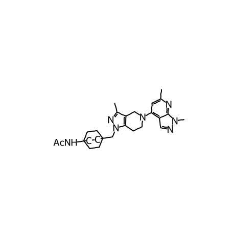 CC(=O)NC12CCC(Cn3nc(C)c4c3CCN(c3cc(C)nc5c3cnn5C)C4)(CC1)CC2